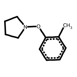 Cc1ccccc1ON1CCCC1